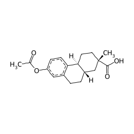 CC(=O)Oc1ccc2c(c1)CC[C@H]1C[C@@](C)(C(=O)O)CC[C@H]21